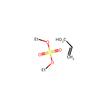 C=CC(=O)O.CCOS(=O)(=O)OCC